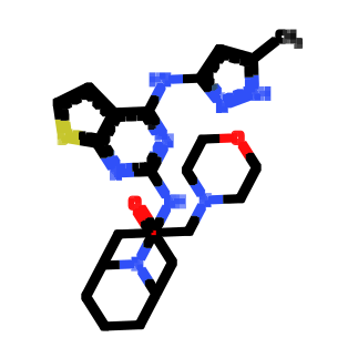 Cc1cc(Nc2nc(NC3CC4CCCC(C3)N4C(=O)CN3CCOCC3)nc3sccc23)n[nH]1